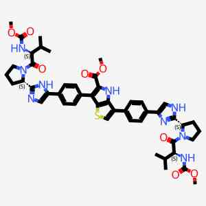 COC(=O)N[C@H](C(=O)N1CCC[C@H]1c1nc(-c2ccc(-c3csc4c(-c5ccc(-c6cnc([C@@H]7CCCN7C(=O)[C@@H](NC(=O)OC)C(C)C)[nH]6)cc5)c(C(=O)OC)[nH]c34)cc2)c[nH]1)C(C)C